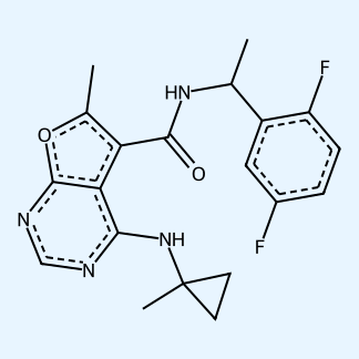 Cc1oc2ncnc(NC3(C)CC3)c2c1C(=O)NC(C)c1cc(F)ccc1F